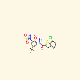 COc1c(NC(=O)c2cc3cccc(Cl)c3s2)cc(C(C)(C)C)cc1NS(C)(=O)=O